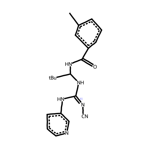 Cc1cccc(C(=O)NC(N/C(=N/C#N)Nc2cccnc2)C(C)(C)C)c1